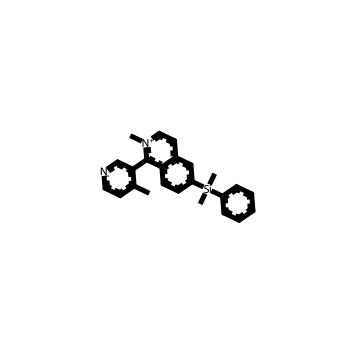 Cc1ccncc1-c1c2ccc([Si](C)(C)c3ccccc3)cc2cc[n+]1C